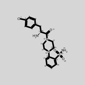 N[C@H](Cc1ccc(Cl)cc1)C(=O)N1CCN(c2ccccc2S(N)(=O)=O)CC1